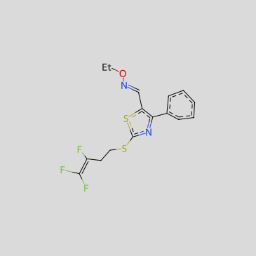 CCON=Cc1sc(SCCC(F)=C(F)F)nc1-c1ccccc1